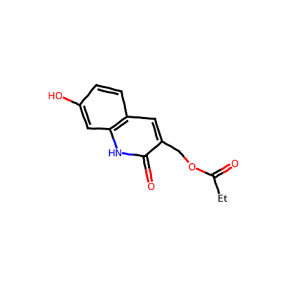 CCC(=O)OCc1cc2ccc(O)cc2[nH]c1=O